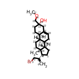 C=C(CBr)[C@H]1CC[C@H]2[C@@H]3CC=C4C[C@](O)(COC)CC[C@@H]4[C@H]3CC[C@]12C